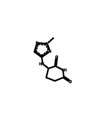 Cn1ncc(NC2CCC(=O)NC2=O)n1